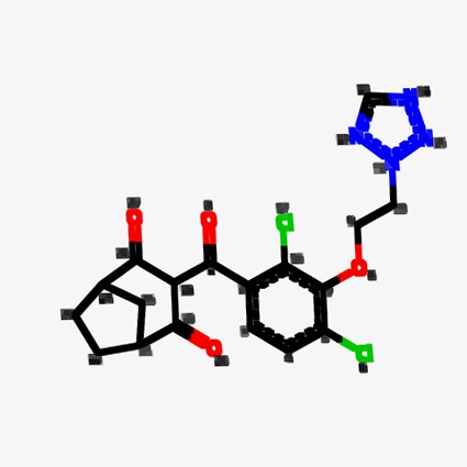 O=C(c1ccc(Cl)c(OCCn2ncnn2)c1Cl)C1C(=O)C2CCC(C2)C1=O